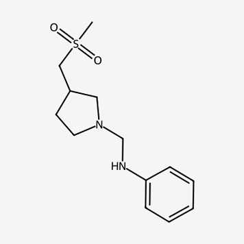 CS(=O)(=O)CC1CCN(CNc2ccccc2)C1